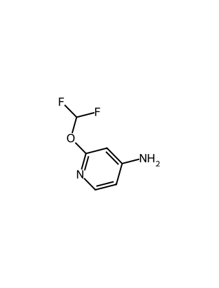 Nc1ccnc(OC(F)F)c1